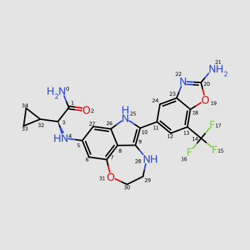 NC(=O)[C@@H](Nc1cc2c3c(c(-c4cc(C(F)(F)F)c5oc(N)nc5c4)[nH]c3c1)NCCO2)C1CC1